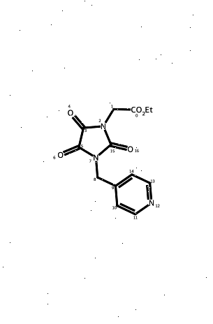 CCOC(=O)CN1C(=O)C(=O)N(Cc2ccncc2)C1=O